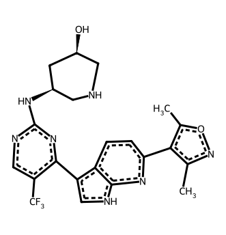 Cc1noc(C)c1-c1ccc2c(-c3nc(N[C@@H]4CNC[C@H](O)C4)ncc3C(F)(F)F)c[nH]c2n1